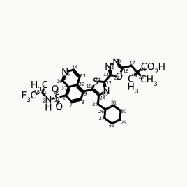 C[C@H](NS(=O)(=O)c1ccc(-c2sc(-c3nnc(CC(C)(C)C(=O)O)o3)nc2CC2CCCCC2)c2ccncc12)C(F)(F)F